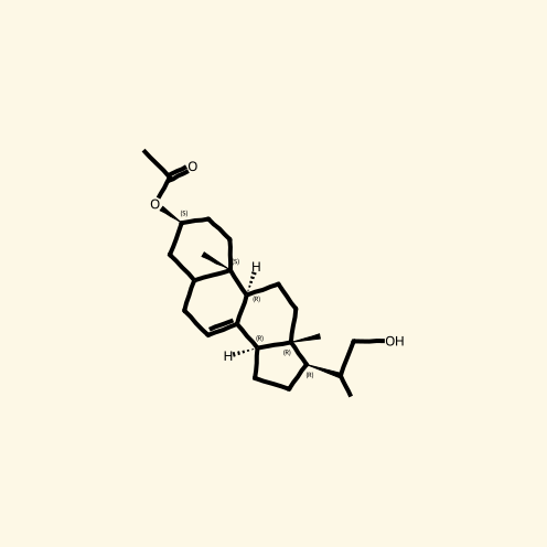 CC(=O)O[C@H]1CC[C@@]2(C)C(CC=C3[C@@H]4CC[C@H](C(C)CO)[C@@]4(C)CC[C@@H]32)C1